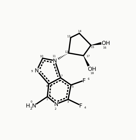 Nc1nc(F)c(F)c2c1ncn2[C@@H]1CC[C@@H](O)[C@H]1O